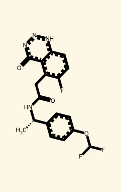 C[C@H](NC(=O)Cc1c(F)ccc2[nH]nnc(=O)c12)c1ccc(OC(F)F)cc1